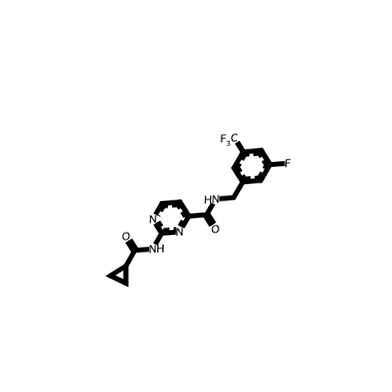 O=C(NCc1cc(F)cc(C(F)(F)F)c1)c1ccnc(NC(=O)C2CC2)n1